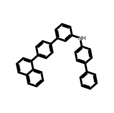 c1ccc(-c2ccc(Nc3cccc(-c4ccc(-c5cccc6ccccc56)cc4)c3)cc2)cc1